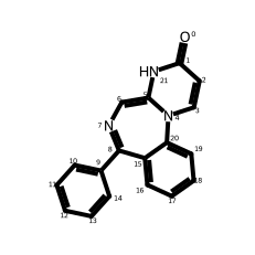 O=C1C=CN2C(=CN=C(c3ccccc3)c3ccccc32)N1